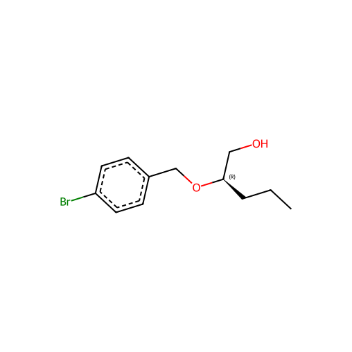 CCC[C@H](CO)OCc1ccc(Br)cc1